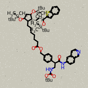 CC(C)(C)OC(=O)NCC(C(=O)Nc1ccc2cnccc2c1)c1ccc(COC(=O)CCCCCCC2C(O[Si](C)(C)C(C)(C)C)CC(O[Si](C)(C)C(C)(C)C)[C@@H]2CC[C@@H](O[Si](C)(C)C(C)(C)C)c2cc3ccccc3s2)cc1